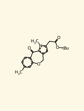 Cc1ccc2c(c1)OCc1cc(CC(=O)OC(C)(C)C)n(C)c1C2=O